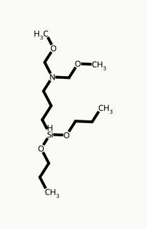 CCCO[SiH](CCCN(COC)COC)OCCC